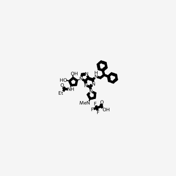 CCC(=O)N[C@H]1C[C@@H](n2cnc3c(NCC(c4ccccc4)c4ccccc4)nc(N4CC[C@@H](NC)C4)nc32)[C@H](O)[C@@H]1O.O=C(O)C(F)(F)F